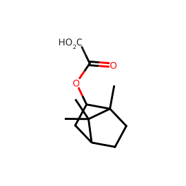 CC1(C)C2CCC1(C)C(OC(=O)C(=O)O)C2